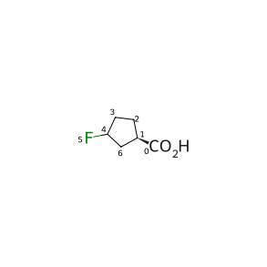 O=C(O)[C@@H]1CCC(F)C1